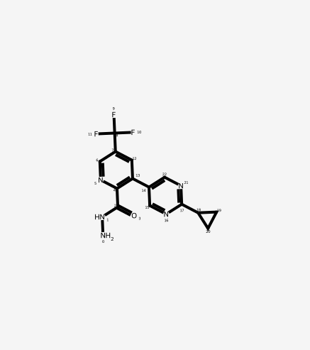 NNC(=O)c1ncc(C(F)(F)F)cc1-c1cnc(C2CC2)nc1